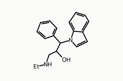 CCNCC(O)C(c1ccccc1)n1ccc2ccccc21